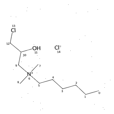 CCCCCC[N+](C)(C)CC(O)CCl.[Cl-]